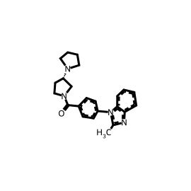 Cc1nc2ccccc2n1-c1ccc(C(=O)N2CC[C@H](N3CCCC3)C2)cc1